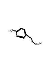 [CH2]NCCc1ccc(O)cc1